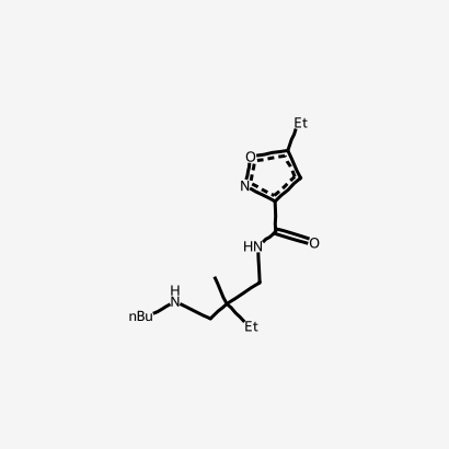 CCCCNCC(C)(CC)CNC(=O)c1cc(CC)on1